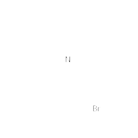 Cc1ccc(C)n1C(C)CBr